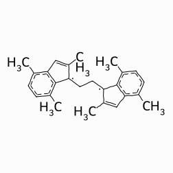 CC1=Cc2c(C)ccc(C)c2[C]1CC[C]1C(C)=Cc2c(C)ccc(C)c21